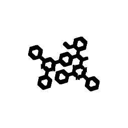 C=Cc1ccccc1/C(=C(\C)c1nc(-c2ccccc2)nc(-c2ccccc2)n1)c1ccc(-c2cc(-c3ccccc3)nc(-c3ccccc3)n2)cc1